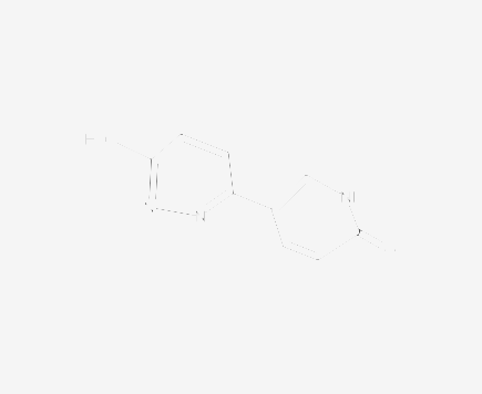 Cc1ccc(-c2ccc(=O)[nH]c2)nn1